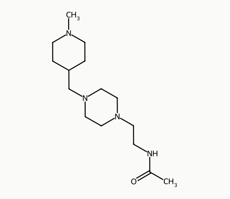 CC(=O)NCCN1CCN(CC2CCN(C)CC2)CC1